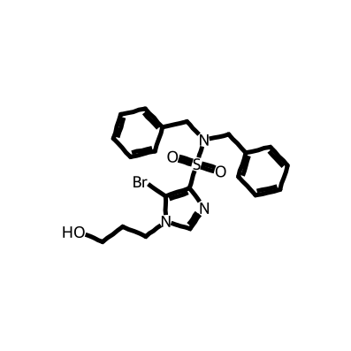 O=S(=O)(c1ncn(CCCO)c1Br)N(Cc1ccccc1)Cc1ccccc1